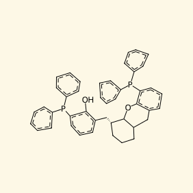 Oc1c(C[C@H]2CCCC3Cc4cccc(P(c5ccccc5)c5ccccc5)c4OC32)cccc1P(c1ccccc1)c1ccccc1